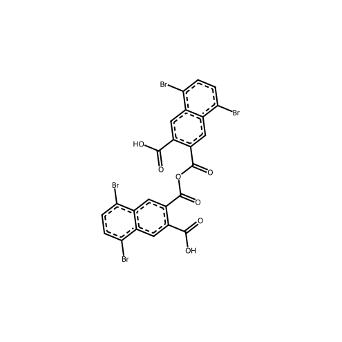 O=C(O)c1cc2c(Br)ccc(Br)c2cc1C(=O)OC(=O)c1cc2c(Br)ccc(Br)c2cc1C(=O)O